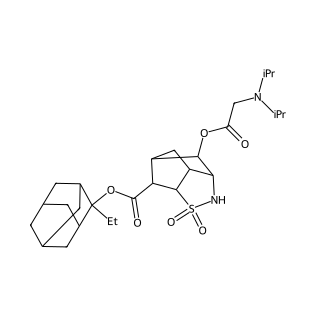 CCC1(OC(=O)C2C3CC4C(NS(=O)(=O)C42)C3OC(=O)CN(C(C)C)C(C)C)C2CC3CC(C2)CC1C3